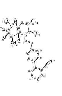 C[C@H]1[C@H](/C=C/c2ccc(-c3ccccc3C#N)cn2)[C@H]2[C@@H](C[C@@H]1C)N(C)S(=O)(=O)[C@@H]2C